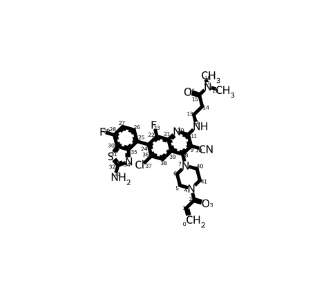 C=CC(=O)N1CCN(c2c(C#N)c(NCCC(=O)N(C)C)nc3c(F)c(-c4ccc(F)c5sc(N)nc45)c(Cl)cc23)CC1